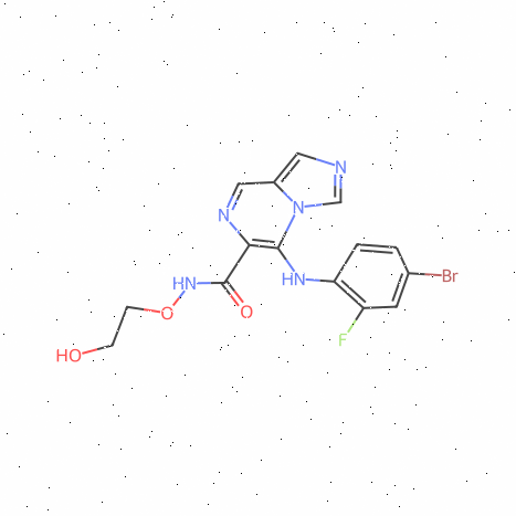 O=C(NOCCO)c1ncc2cncn2c1Nc1ccc(Br)cc1F